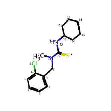 CN(Cc1ccccc1Cl)C(=S)NC1CCCCC1